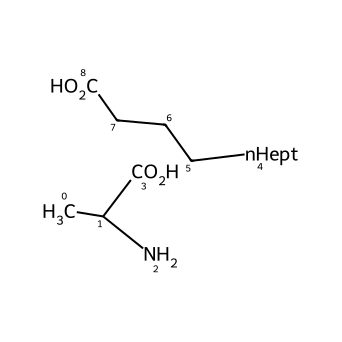 CC(N)C(=O)O.CCCCCCCCCCC(=O)O